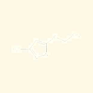 CCOC1=CC(C)=N[N]1